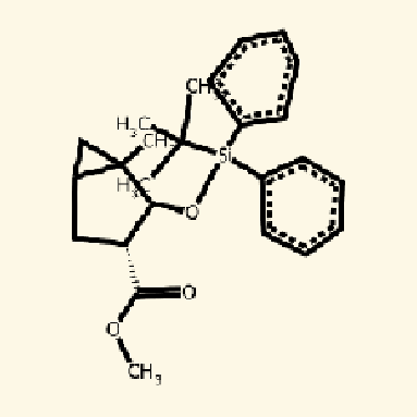 COC(=O)[C@@H]1CC2CC2(C)[C@H]1O[Si](c1ccccc1)(c1ccccc1)C(C)(C)C